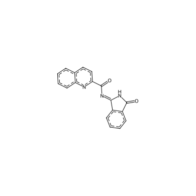 O=C(N=C1NC(=O)c2ccccc21)c1ccc2ccccc2n1